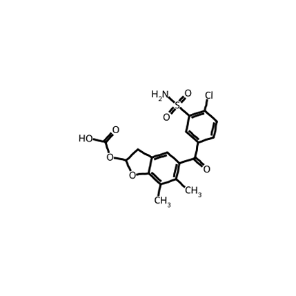 Cc1c(C(=O)c2ccc(Cl)c(S(N)(=O)=O)c2)cc2c(c1C)OC(OC(=O)O)C2